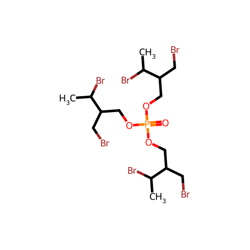 CC(Br)C(CBr)COP(=O)(OCC(CBr)C(C)Br)OCC(CBr)C(C)Br